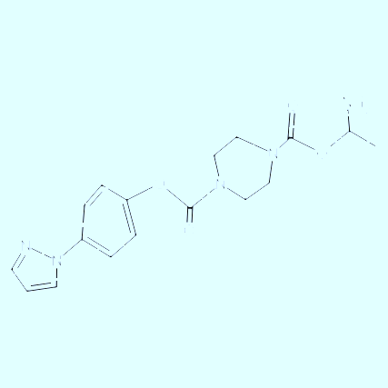 CC(N)OC(=O)N1CCN(C(=O)Oc2ccc(-n3cccn3)cc2)CC1